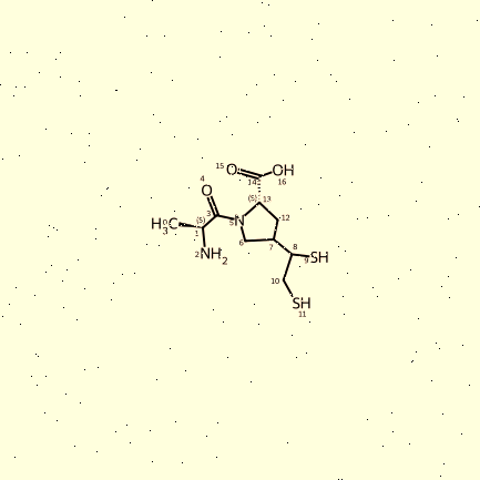 C[C@H](N)C(=O)N1CC(C(S)CS)C[C@H]1C(=O)O